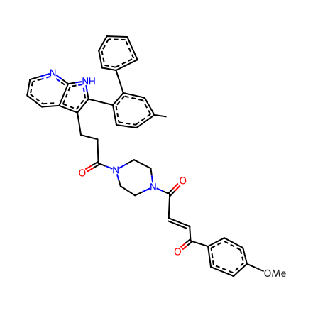 COc1ccc(C(=O)C=CC(=O)N2CCN(C(=O)CCc3c(-c4ccc(C)cc4-c4ccccc4)[nH]c4ncccc34)CC2)cc1